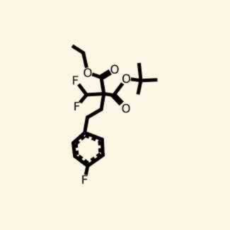 CCOC(=O)C(CCc1ccc(F)cc1)(C(=O)OC(C)(C)C)C(F)F